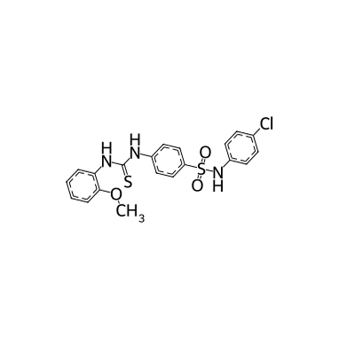 COc1ccccc1NC(=S)Nc1ccc(S(=O)(=O)Nc2ccc(Cl)cc2)cc1